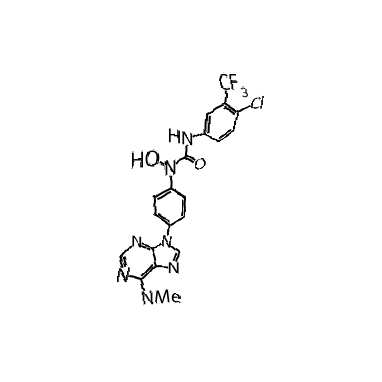 CNc1ncnc2c1ncn2-c1ccc(N(O)C(=O)Nc2ccc(Cl)c(C(F)(F)F)c2)cc1